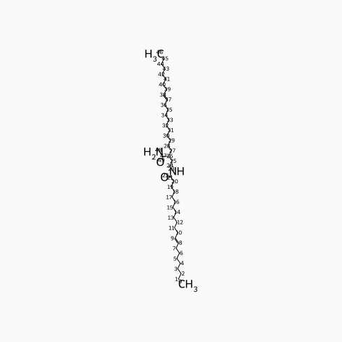 CCCCCCCCC=CCCCCCCCCCCCC(=O)NCCC(CCCCCCCCCCC=CCCCCCCCC)C(N)=O